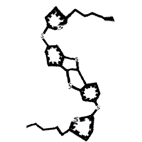 CCCCCc1ccc(Sc2ccc3c(c2)SC2c4ccc(Sc5ccc(CCCCC)s5)cc4SC32)s1